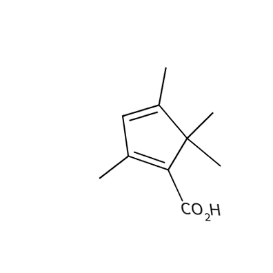 CC1=CC(C)=C(C(=O)O)C1(C)C